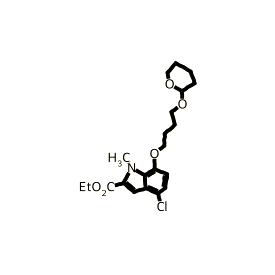 CCOC(=O)c1cc2c(Cl)ccc(OCCCCOC3CCCCO3)c2n1C